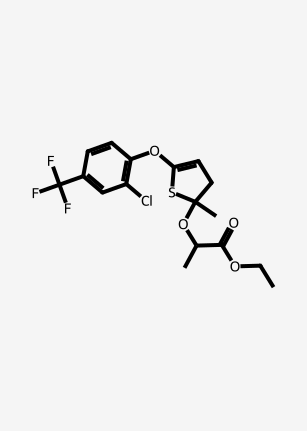 CCOC(=O)C(C)OC1(C)CC=C(Oc2ccc(C(F)(F)F)cc2Cl)S1